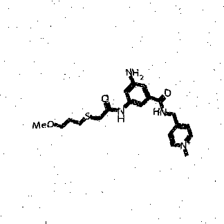 COCCCSCC(=O)Nc1cc(N)cc(C(=O)NCc2cc[n+](C)cc2)c1